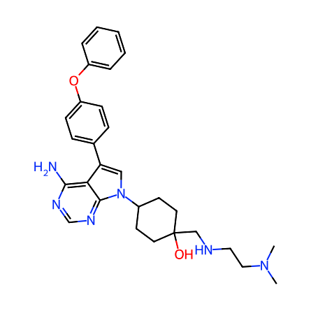 CN(C)CCNCC1(O)CCC(n2cc(-c3ccc(Oc4ccccc4)cc3)c3c(N)ncnc32)CC1